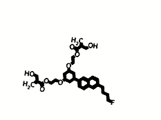 C=C(CO)C(=O)OCCOC1CC(OCCOC(=O)C(=C)CO)CC(c2ccc3cc(CCCCF)ccc3c2)C1